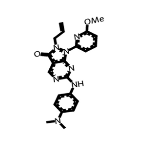 C=CCn1c(=O)c2cnc(Nc3ccc(N(C)C)cc3)nc2n1-c1cccc(OC)n1